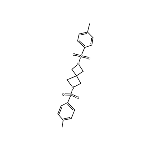 Cc1ccc(S(=O)(=O)N2CC3(C2)CN(S(=O)(=O)c2ccc(C)cc2)C3)cc1